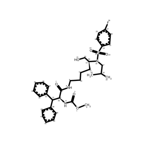 COC(=O)N[C@H](C(=O)NCCCC[C@@H](CO)N(CC(C)C)S(=O)(=O)c1ccc(F)cc1)C(c1ccccc1)c1ccccc1